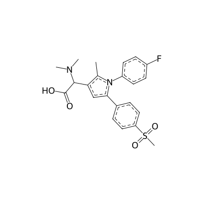 Cc1c(C(C(=O)O)N(C)C)cc(-c2ccc(S(C)(=O)=O)cc2)n1-c1ccc(F)cc1